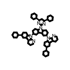 c1ccc(-c2ccc3c(c2)c2cccnc2n3-c2ccc3c(c2)c2cc(-n4c5ccc(-c6ccccc6)cc5c5cccnc54)ccc2n3-c2nc(-c3ccccc3)cc(-c3ccccc3)n2)cc1